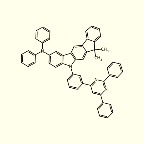 CC1(C)c2ccccc2-c2cc3c4cc(N(c5ccccc5)c5ccccc5)ccc4n(-c4cccc(-c5cc(-c6ccccc6)nc(-c6ccccc6)n5)c4)c3cc21